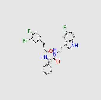 O=C(C=Cc1ccc(F)c(Br)c1)N[C@@H](C(=O)NCCc1c[nH]c2ccc(F)cc12)c1ccccc1